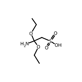 CCOC(N)(CS(=O)(=O)O)OCC